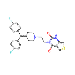 O=c1[nH]c2cscc2c(=O)n1CCN1CCC(=C(c2ccc(F)cc2)c2ccc(F)cc2)CC1